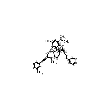 Cc1cccc(C#CC(=O)N(C)[C@H]2CC[C@H]3[C@H]4Cc5c(N(C)C)cc(O)c6c5[C@@]3(CCN4CCc3ccccc3)[C@H]2O6)c1